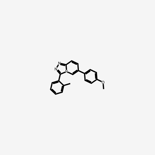 COc1ccc(-c2ccc3nnc(-c4ccccc4C)n3c2)cc1